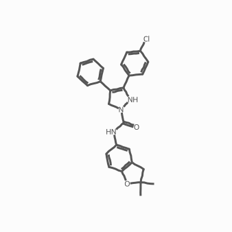 CC1(C)Cc2cc(NC(=O)N3CC(c4ccccc4)=C(c4ccc(Cl)cc4)N3)ccc2O1